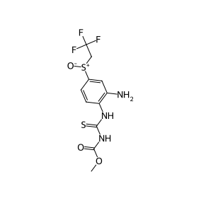 COC(=O)NC(=S)Nc1ccc([S+]([O-])CC(F)(F)F)cc1N